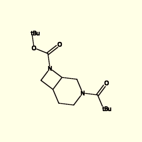 CC(C)(C)OC(=O)N1CC2CCN(C(=O)C(C)(C)C)CC21